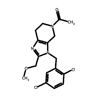 COCc1nc2c(n1Cc1cc(Cl)ccc1Cl)CN(C(C)=O)CC2